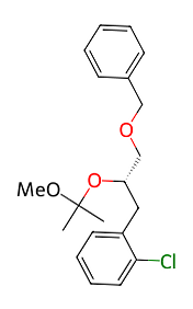 COC(C)(C)O[C@H](COCc1ccccc1)Cc1ccccc1Cl